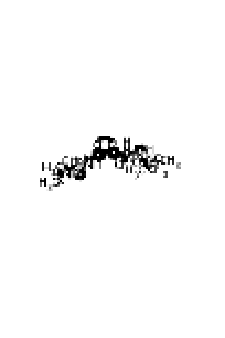 COC(=O)N[C@H](C(=O)N1CCC[C@H]1c1ncc(-c2ccc3c(c2)OCCCOc2cc(-c4[nH]c([C@@H]5CCCN5C(=O)[C@@H](NC(=O)OC)C(C)C)nc4Cl)ccc2-3)[nH]1)C(C)C